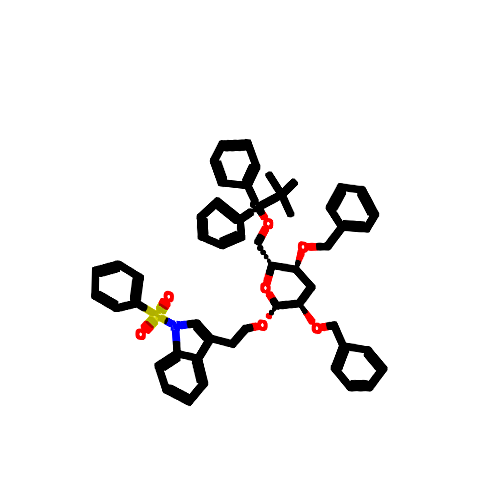 CC(C)(C)[Si](OC[C@H]1O[C@@H](OCCc2cn(S(=O)(=O)c3ccccc3)c3ccccc23)[C@H](OCc2ccccc2)C[C@@H]1OCc1ccccc1)(c1ccccc1)c1ccccc1